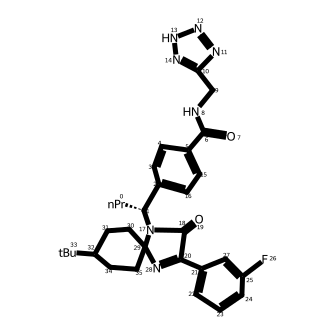 CCC[C@H](c1ccc(C(=O)NCc2nn[nH]n2)cc1)N1C(=O)C(c2cccc(F)c2)=NC12CCC(C(C)(C)C)CC2